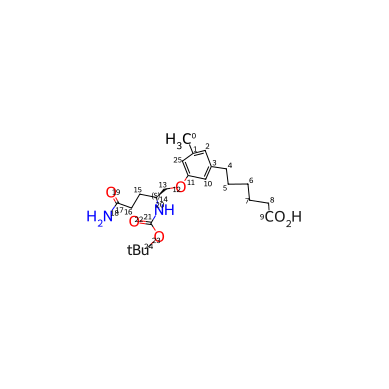 Cc1cc(CCCCCC(=O)O)cc(OC[C@H](CCC(N)=O)NC(=O)OC(C)(C)C)c1